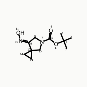 CC(C)(C)OC(=O)N1CC(=NO)C2(CC2)C1